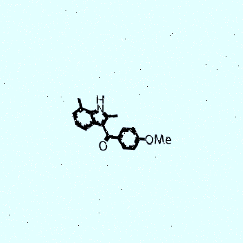 COc1ccc(C(=O)c2c(C)[nH]c3c(C)cccc23)cc1